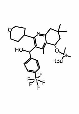 Cc1c([C@H](O)c2ccc(S(F)(F)(F)(F)F)cc2)c(C2CCOCC2)nc2c1[C@@H](O[Si](C)(C)C(C)(C)C)CC(C)(C)C2